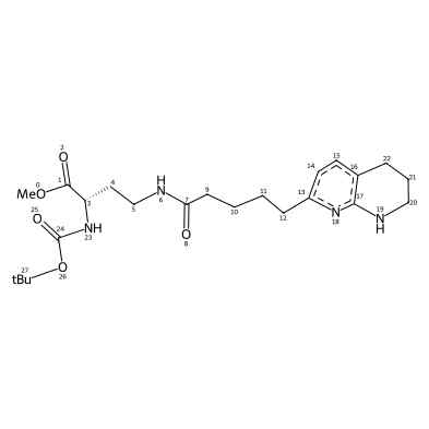 COC(=O)[C@H](CCNC(=O)CCCCc1ccc2c(n1)NCCC2)NC(=O)OC(C)(C)C